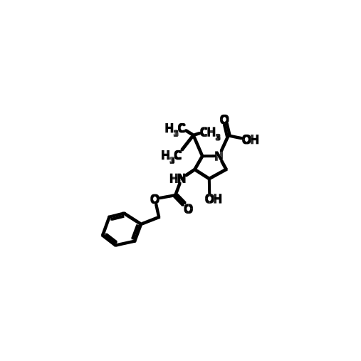 CC(C)(C)C1C(NC(=O)OCc2ccccc2)C(O)CN1C(=O)O